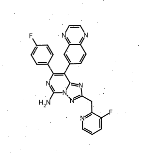 Nc1nc(-c2ccc(F)cc2)c(-c2ccc3nccnc3c2)c2nc(Cc3ncccc3F)nn12